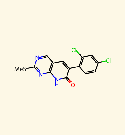 CSc1ncc2cc(-c3ccc(Cl)cc3Cl)c(=O)[nH]c2n1